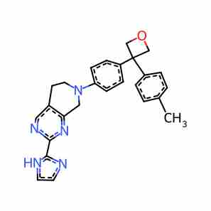 Cc1ccc(C2(c3ccc(N4CCc5cnc(-c6ncc[nH]6)nc5C4)cc3)COC2)cc1